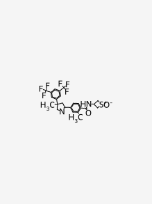 Cc1cc(C2=NCC(C)(c3cc(C(F)(F)F)cc(C(F)(F)F)c3)C2)ccc1C(=O)NC1C[S+]([O-])C1